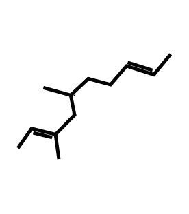 CC=CCC[C](C)CC(C)=CC